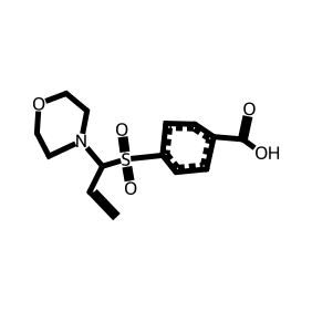 C=CC(N1CCOCC1)S(=O)(=O)c1ccc(C(=O)O)cc1